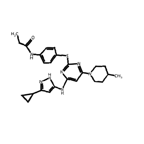 CCC(=O)Nc1ccc(Sc2nc(Nc3cc(C4CC4)n[nH]3)cc(N3CCC(C)CC3)n2)cc1